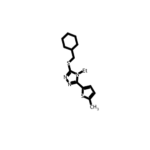 CCn1c(SCC2CCCCC2)nnc1-c1ccc(C)s1